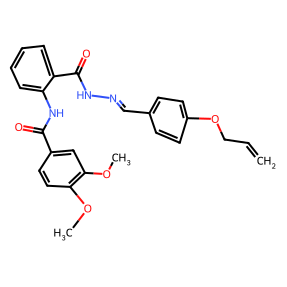 C=CCOc1ccc(C=NNC(=O)c2ccccc2NC(=O)c2ccc(OC)c(OC)c2)cc1